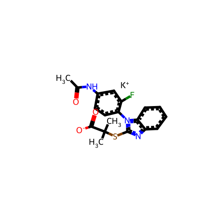 CC(=O)Nc1ccc(-n2c(SC(C)(C)C(=O)[O-])nc3ccccc32)c(F)c1.[K+]